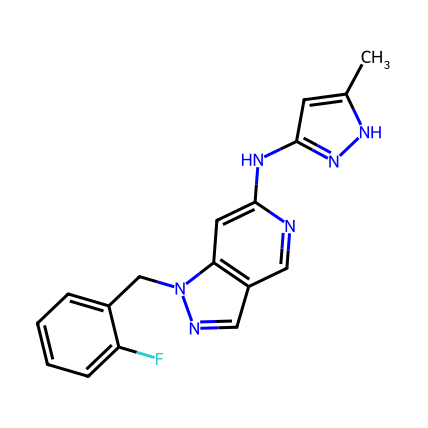 Cc1cc(Nc2cc3c(cn2)cnn3Cc2ccccc2F)n[nH]1